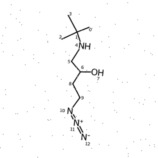 CC(C)(C)NCC(O)CCN=[N+]=[N-]